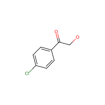 [O]CC(=O)c1ccc(Cl)cc1